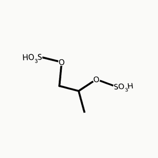 CC(COS(=O)(=O)O)OS(=O)(=O)O